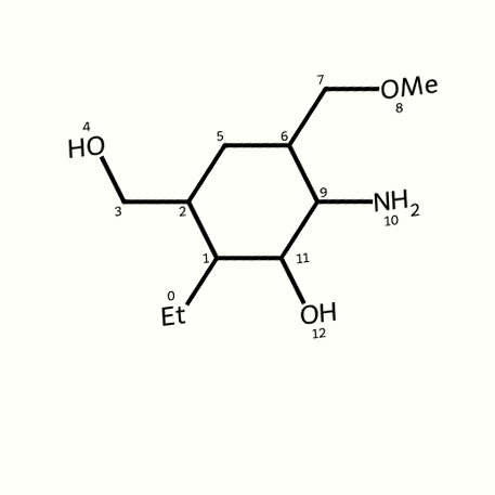 CCC1C(CO)CC(COC)C(N)C1O